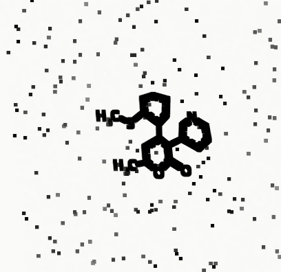 CSc1ccccc1-c1cc(C)oc(=O)c1-c1cccnc1